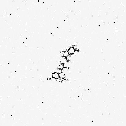 O=C(NCc1ccc(Cl)cc1C(F)(F)F)C(=O)Nc1c[nH]c2cc(F)c(F)cc12